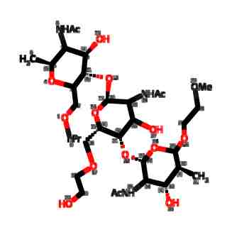 CCCOCC1O[C@@H](C)C(NC(C)=O)[C@@H](O)[C@@H]1O[C@@H]1O[C@@H](COCCO)[C@@H](O[C@@H]2OC(OCCOC)[C@@H](C)[C@H](O)C2NC(C)=O)C(O)C1NC(C)=O